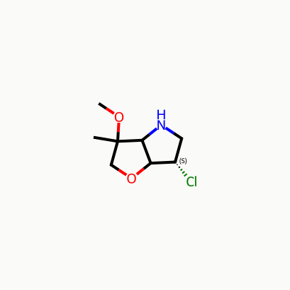 COC1(C)COC2C1NC[C@@H]2Cl